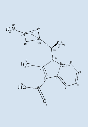 Cc1c(C(=O)O)c2ccccc2n1[C@H](C)C12CC(N)(C1)C2